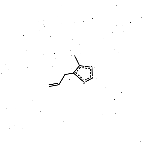 C=CCc1scnc1C